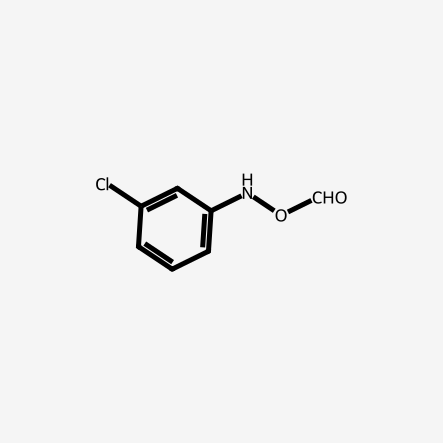 O=CONc1cccc(Cl)c1